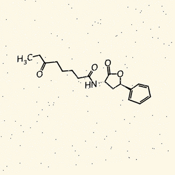 CCC(=O)CCCCC(=O)N[C@H]1C[C@H](c2ccccc2)OC1=O